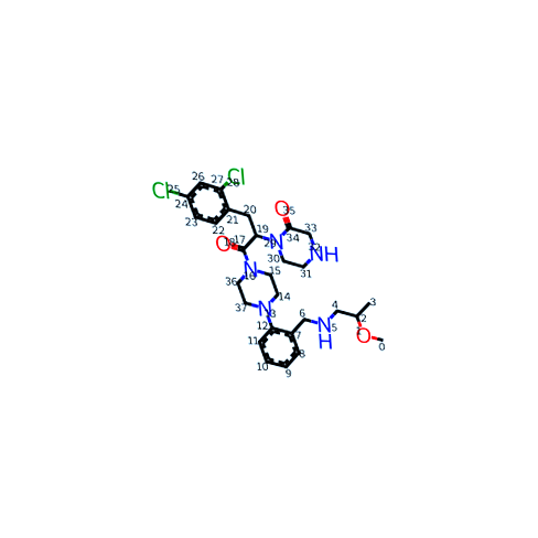 COC(C)CNCc1ccccc1N1CCN(C(=O)C(Cc2ccc(Cl)cc2Cl)N2CCNCC2=O)CC1